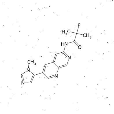 Cn1cncc1-c1cnc2cnc(NC(=O)C(C)(C)F)cc2c1